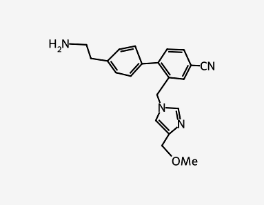 COCc1cn(Cc2cc(C#N)ccc2-c2ccc(CCN)cc2)cn1